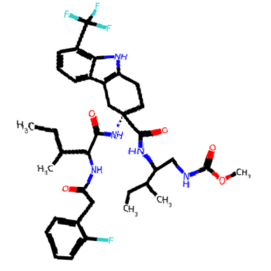 CCC(C)C(CNC(=O)OC)NC(=O)[C@]1(NC(=O)C(NC(=O)Cc2ccccc2F)C(C)CC)CCc2[nH]c3c(C(F)(F)F)cccc3c2C1